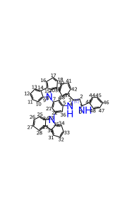 N=C(/C=C(\Nc1cc(-n2c3ccccc3c3ccccc32)cc(-n2c3ccccc3c3ccccc32)c1)c1ccccc1)c1ccccc1